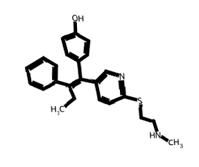 CCC(=C(c1ccc(O)cc1)c1ccc(SCCNC)nc1)c1ccccc1